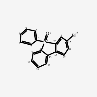 O=P1(c2ccccc2)c2ccccc2-c2ccc(Br)cc21